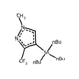 CCC[CH2][Sn]([CH2]CCC)([CH2]CCC)[c]1cn(C)nc1C(F)(F)F